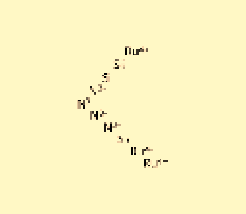 [N-3].[N-3].[N-3].[N-3].[Ru+4].[Ru+4].[Ru+4].[Si].[Si].[Si]